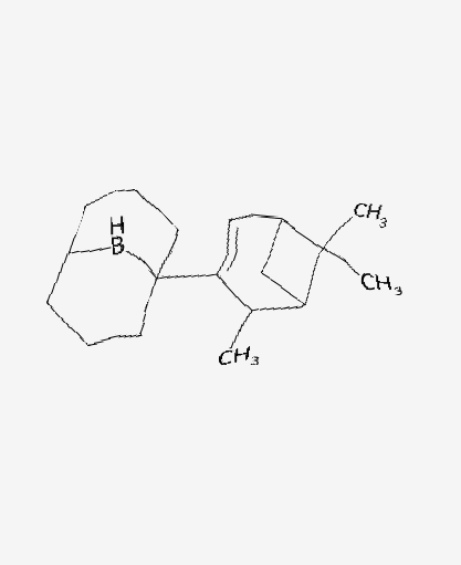 CC1C(C23BC(CCC2)CCC3)=CC2CC1C2(C)C